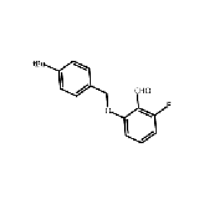 CC(C)(C)c1ccc(COc2cccc(F)c2C=O)cc1